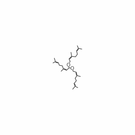 CC(C)=CCC/C(C)=C\COC(/C=C(/C)CCC=C(C)C)OC/C=C(/C)CCC=C(C)C